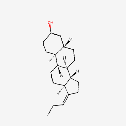 CC/C=C1/CC[C@H]2[C@@H]3CC[C@H]4C[C@H](O)CC[C@]4(C)[C@H]3CC[C@]12C